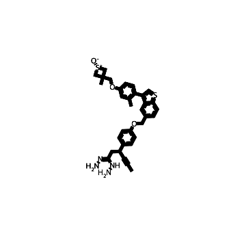 CC#CC(C/C(=N/N)NN)c1ccc(OCc2ccc3scc(-c4ccc(OCC5(C)C[S+]([O-])C5)cc4C)c3c2)cc1